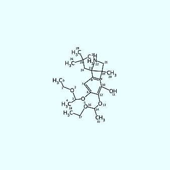 CCOC(C)Oc1cc2c(c(O)c1OC(C)OCC)C1(C)CNC21CC(C)(C)C